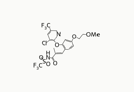 COCCOc1ccc(/C=C(\C)C(=O)NS(=O)(=O)C(F)(F)F)c(Oc2ncc(C(F)(F)F)cc2Cl)c1